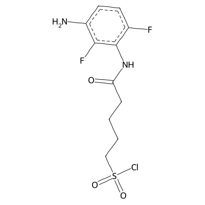 Nc1ccc(F)c(NC(=O)CCCCS(=O)(=O)Cl)c1F